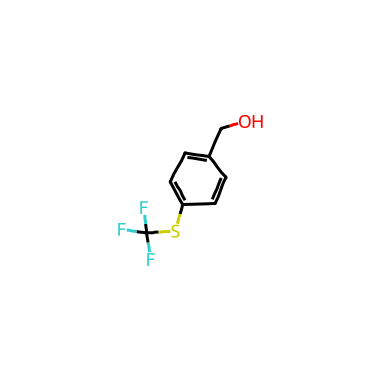 OCc1ccc(SC(F)(F)F)cc1